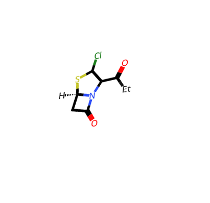 CCC(=O)C1C(Cl)S[C@@H]2CC(=O)N12